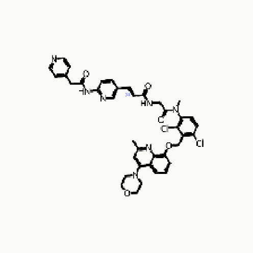 Cc1cc(N2CCOCC2)c2cccc(OCc3c(Cl)ccc(N(C)C(=O)CNC(=O)/C=C/c4ccc(NC(=O)Cc5ccncc5)nc4)c3Cl)c2n1